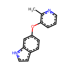 Cc1ncccc1Oc1ccc2[c]c[nH]c2c1